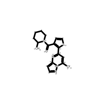 CC1CCCCN1C(=O)c1ccsc1-c1cc(C(F)(F)F)n2nccc2n1